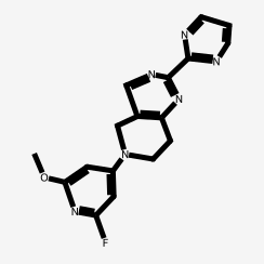 COc1cc(N2CCc3nc(-c4ncccn4)ncc3C2)cc(F)n1